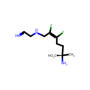 C[C@](N)(CC/C(F)=C(/F)CNCC=N)C(=O)O